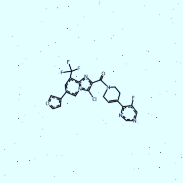 O=C(c1nc2c(C(F)(F)F)cc(-c3ccoc3)cn2c1Cl)N1CC=C(c2ncncc2F)CC1